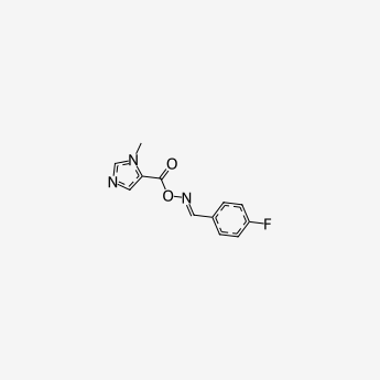 Cn1cncc1C(=O)ON=Cc1ccc(F)cc1